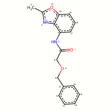 Cc1nc2c(NC(=O)COCc3ccccc3)cccc2o1